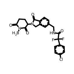 BN1C(=O)CCC(N2Cc3cc(CNC(=O)C(F)(F)c4ccc(Cl)cc4)ccc3C2=O)C1=O